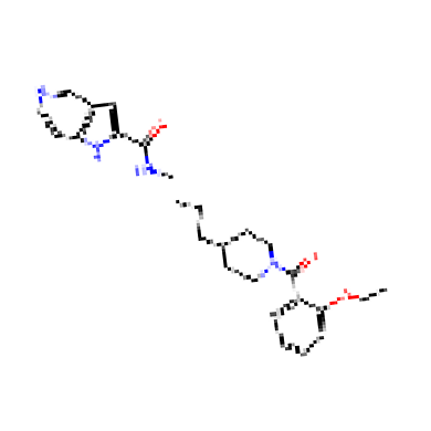 CCOc1ccccc1C(=O)N1CCC(CCCCNC(=O)c2cc3cnccc3[nH]2)CC1